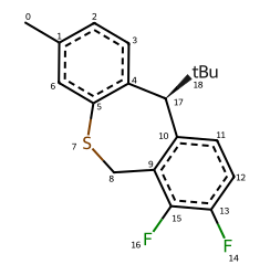 Cc1ccc2c(c1)SCc1c(ccc(F)c1F)[C@@H]2C(C)(C)C